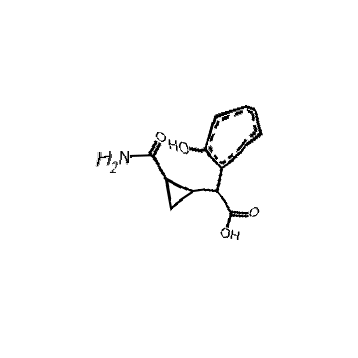 NC(=O)C1CC1C(C(=O)O)c1ccccc1O